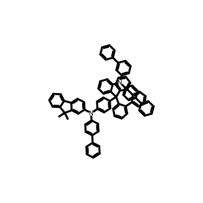 CC1(C)c2ccccc2-c2ccc(N(c3ccc(-c4ccccc4)cc3)c3ccc(C4(c5ccccc5N(c5ccc(-c6ccccc6)cc5)c5cccc(-c6ccccc6)c5)c5ccccc5-c5ccccc5-c5ccccc54)cc3)cc21